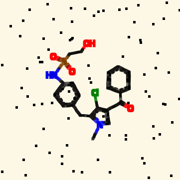 Cn1cc(C(=O)c2ccccc2)c(Cl)c1Cc1ccc(NS(=O)(=O)CCO)cc1